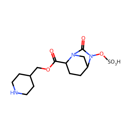 O=C(OCC1CCNCC1)C1CCC2CN1C(=O)N2OS(=O)(=O)O